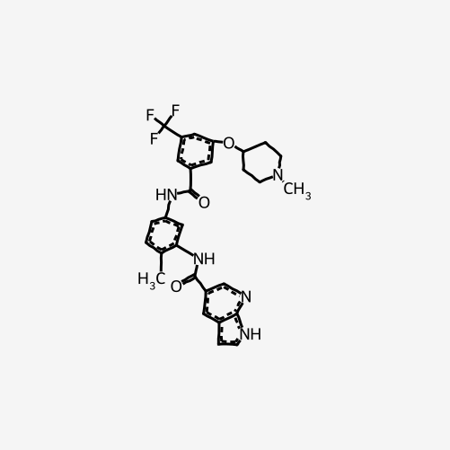 Cc1ccc(NC(=O)c2cc(OC3CCN(C)CC3)cc(C(F)(F)F)c2)cc1NC(=O)c1cnc2[nH]ccc2c1